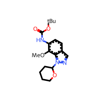 COc1c(NC(=O)OC(C)(C)C)ccc2cnn(C3CCCCO3)c12